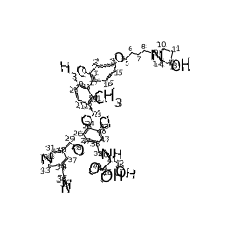 Cc1cc(OCCCCN2CC[C@@H](O)C2)ccc1-c1cccc(COc2cc(OCc3cncc(C#N)c3)c(CN[C@H](CO)C(=O)O)cc2Cl)c1C